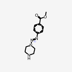 COC(=O)c1ccc(/N=N/N2CCNCC2)cc1